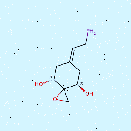 O[C@@H]1CC(=CCP)C[C@@H](O)C12CO2